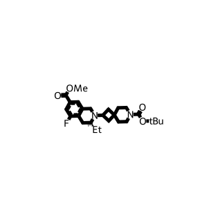 CC[C@@H]1Cc2c(F)cc(C(=O)OC)cc2CN1C1CC2(CCN(C(=O)OC(C)(C)C)CC2)C1